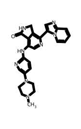 CN1CCN(c2ccc(Nc3cnc(-c4cnc5ccccn45)c4c3C(=O)NC4)nc2)CC1